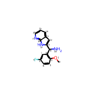 COc1ccc(F)cc1C(N)c1cc2cccnc2[nH]1